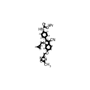 Cc1nc(COc2ccc3c(C#N)c(-c4ccc(NC(=O)OC(C)C)cc4)n(CC4CC4)c3c2)no1